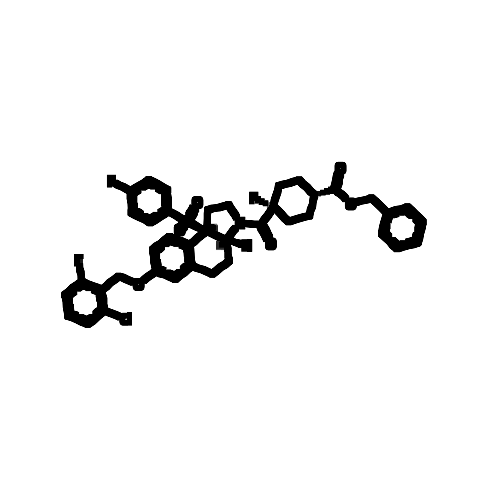 O=C(OCc1ccccc1)[C@H]1CC[C@](F)(C(=O)N2CC[C@@]3(S(=O)(=O)c4ccc(F)cc4)c4ccc(OCc5c(F)cccc5Cl)cc4CC[C@@H]23)CC1